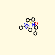 c1ccc(-c2ccc3oc(-c4cccc5c4sc4c(-c6nc(-c7ccccc7)nc(-c7ccccc7)n6)cccc45)nc3c2)cc1